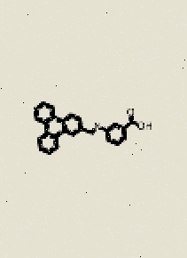 O=C(O)c1cccc(/N=C/c2ccc3c4ccccc4c4ccccc4c3c2)c1